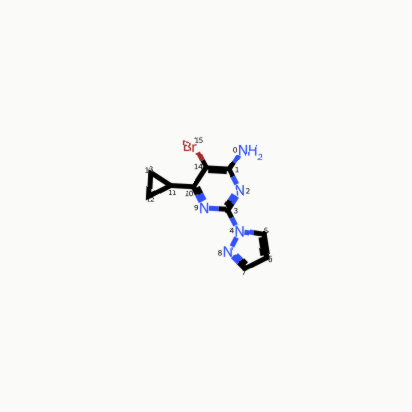 Nc1nc(-n2cccn2)nc(C2CC2)c1Br